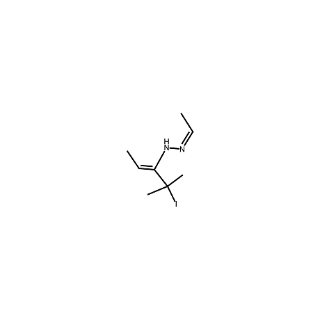 C/C=N\N/C(=C\C)C(C)(C)I